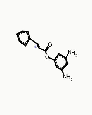 Nc1cc(N)cc(OC(=O)/C=C/c2ccccc2)c1